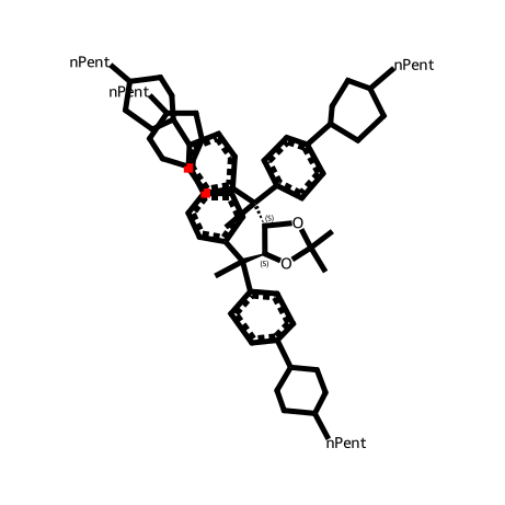 CCCCCC1CCC(c2ccc(C(C)(c3ccc(C4CCC(CCCCC)CC4)cc3)[C@@H]3OC(C)(C)O[C@H]3C(C)(c3ccc(C4CCC(CCCCC)CC4)cc3)c3ccc(C4CCC(CCCCC)CC4)cc3)cc2)CC1